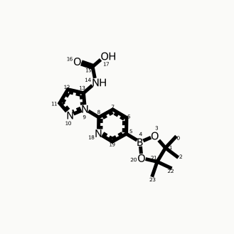 CC1(C)OB(c2ccc(-n3nccc3NC(=O)O)nc2)OC1(C)C